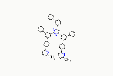 Cc1cccc(-c2ccc(-c3cc(-c4ccccc4)cc(-c4cc(-c5cccc(-c6ccccc6)c5)nc(-c5cc(-c6ccccc6)cc(-c6ccc(-c7cccc(C)n7)cc6)c5)n4)c3)cc2)n1